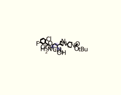 C\C(N)=C(/C=C(\C=N\O)c1cnn(C2CCN(C(=O)OC(C)(C)C)CC2)c1)O[C@H](C)c1c(Cl)ccc(F)c1Cl